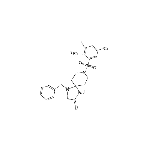 Cc1cc(Cl)cc(S(=O)(=O)N2CCC3(CC2)NC(=O)CN3Cc2ccccc2)c1O